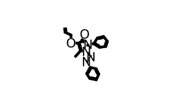 C=CCOc1c(C)n(N=Nc2ccccc2)n(-c2ccccc2)c1=O